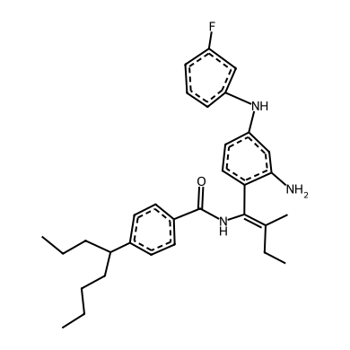 CCCCC(CCC)c1ccc(C(=O)N/C(=C(/C)CC)c2ccc(Nc3cccc(F)c3)cc2N)cc1